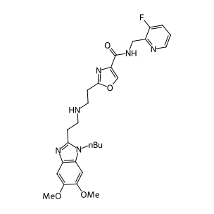 CCCCn1c(CCNCCc2nc(C(=O)NCc3ncccc3F)co2)nc2cc(OC)c(OC)cc21